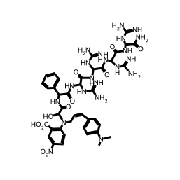 CN(C)c1ccc(/C=C\CN(c2ccc([N+](=O)[O-])cc2C(=O)O)C(O)C(=O)NC(C(=O)NC(NC(=N)N)C(=O)NC(NC(=N)N)C(=O)NC(NC(=N)N)C(=O)NC(NC(=N)N)C(N)=O)c2ccccc2)cc1